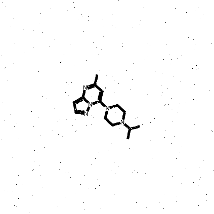 Cc1cc(N2CCN(C(C)C)CC2)n2nccc2n1